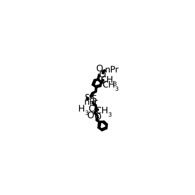 CCCSC(=CCC1=CC(C)(C)C(COC(=O)CCC)C=C1)SCCC(C)(C)C(=O)OCc1ccccc1